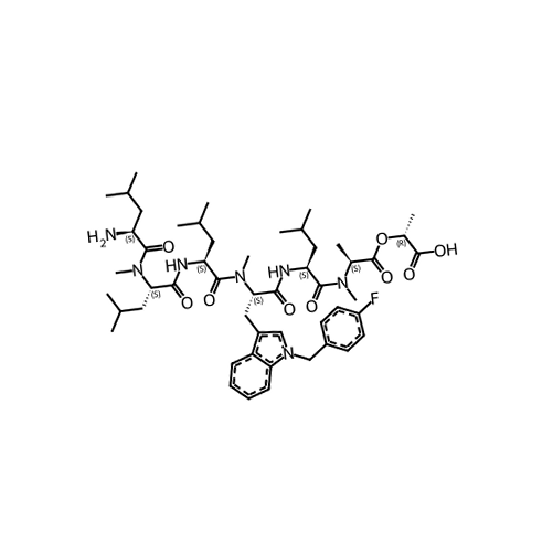 CC(C)C[C@H](NC(=O)[C@H](Cc1cn(Cc2ccc(F)cc2)c2ccccc12)N(C)C(=O)[C@H](CC(C)C)NC(=O)[C@H](CC(C)C)N(C)C(=O)[C@@H](N)CC(C)C)C(=O)N(C)[C@@H](C)C(=O)O[C@H](C)C(=O)O